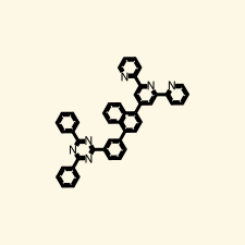 c1ccc(-c2nc(-c3ccccc3)nc(-c3cccc(-c4ccc(-c5cc(-c6ccccn6)nc(-c6ccccn6)c5)c5ccccc45)c3)n2)cc1